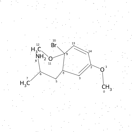 COC1=CC(CC(C)N)C(Br)(OC)C=C1